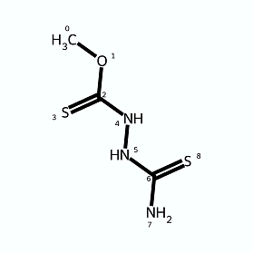 COC(=S)NNC(N)=S